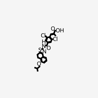 C/C(=C\c1c(Cl)cc(C(=O)Nc2nc3c(s2)CCc2c(OCC(C)C)cccc2-3)cc1Cl)C(=O)O